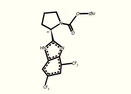 CC(C)(C)OC(=O)N1CCC[C@@H]1c1nc2c(C(F)(F)F)cc(C(F)(F)F)cc2[nH]1